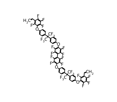 C=Cc1c(F)c(F)c(F)c(Oc2ccc(C(c3ccc(Oc4c(F)c(F)c(-c5c(F)c(F)c(Oc6ccc(C(c7ccc(Oc8c(F)c(F)c(F)c(C=C)c8F)cc7)(C(F)(F)F)C(F)(F)F)cc6)c(F)c5F)c(F)c4F)cc3)(C(F)(F)F)C(F)(F)F)cc2)c1F